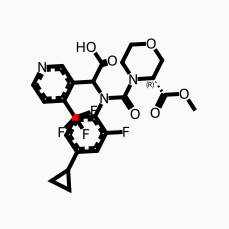 COC(=O)[C@H]1COCCN1C(=O)N(c1ccc(C2CC2)cc1F)C(C(=O)O)c1cnccc1C(F)(F)F